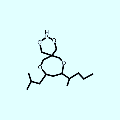 CCCC(C)C1CC(CC(C)C)OCC2(COPOC2)CO1